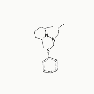 CCCN(CSc1ccccc1)N1C(C)CCCC1C